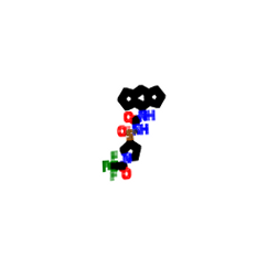 O=C(Nc1c2c(cc3c1CCC3)CCC2)N[S+]([O-])C1CCN(C(=O)C(F)(F)F)C1